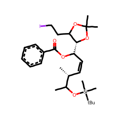 CC(O[Si](C)(C)C(C)(C)C)[C@H](C)/C=C\C(OC(=O)c1ccccc1)[C@H]1OC(C)(C)OC1CCI